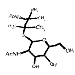 CC(=O)NC1C(OC(C)(C)C(C)(N)NC(C)=O)OC(CO)C(O)C1O